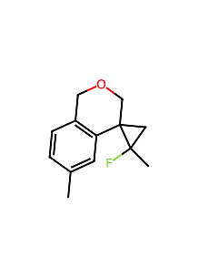 Cc1ccc2c(c1)C1(COC2)CC1(C)F